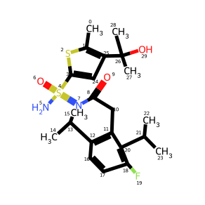 Cc1sc(S(N)(=O)=NC(=O)Cc2c(C(C)C)ccc(F)c2C(C)C)cc1C(C)(C)O